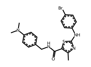 Cc1nc(Nc2ccc(Br)cc2)sc1C(=O)NCc1ccc(N(C)C)cc1